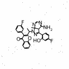 CC(c1oc2ccccc2c(=O)c1-c1cccc(F)c1)N1N=C(c2ccc(F)cc2O)C2C(N)=NC=NC21C